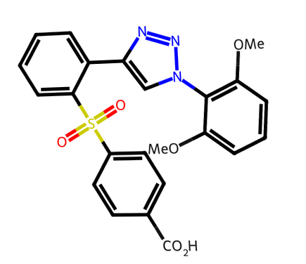 COc1cccc(OC)c1-n1cc(-c2ccccc2S(=O)(=O)c2ccc(C(=O)O)cc2)nn1